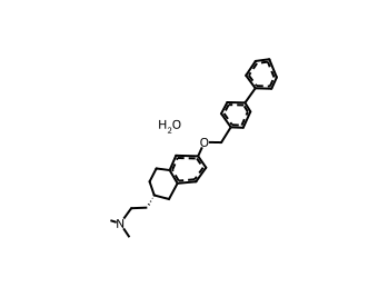 CN(C)CC[C@@H]1CCc2cc(OCc3ccc(-c4ccccc4)cc3)ccc2C1.O